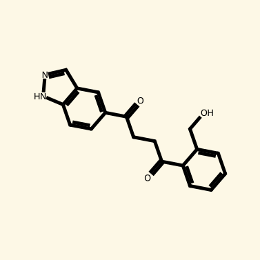 O=C(CCC(=O)c1ccccc1CO)c1ccc2[nH]ncc2c1